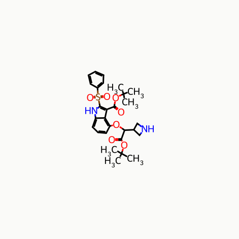 CC(C)(C)OC(=O)c1c(S(=O)(=O)c2ccccc2)[nH]c2cccc(OC(C(=O)OC(C)(C)C)C3CNC3)c12